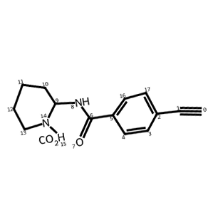 C#Cc1ccc(C(=O)NC2CCCCN2C(=O)O)cc1